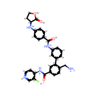 NCc1ccc(C(=O)Nc2ccncc2F)cc1-c1cccc(NC(=O)c2ccc(NC3CCOC3=O)cc2)c1